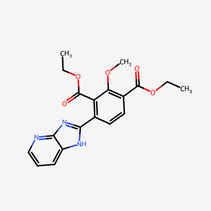 CCOC(=O)c1ccc(-c2nc3ncccc3[nH]2)c(C(=O)OCC)c1OC